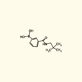 CC(C)(C)CNC(=O)c1cccc(B(O)O)c1